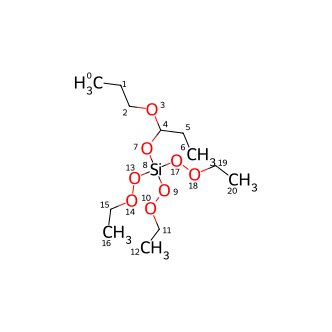 CCCOC(CC)O[Si](OOCC)(OOCC)OOCC